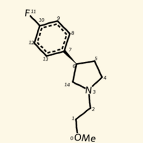 COCCN1CC[C@H](c2ccc(F)cc2)C1